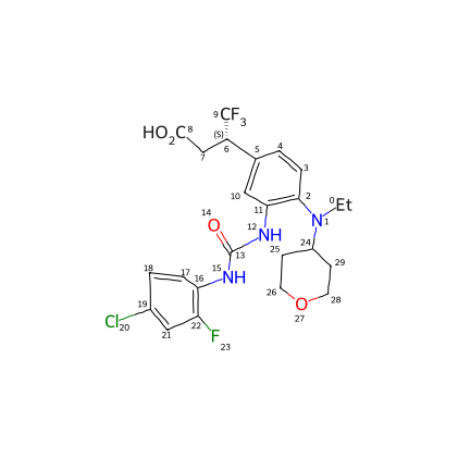 CCN(c1ccc([C@H](CC(=O)O)C(F)(F)F)cc1NC(=O)Nc1ccc(Cl)cc1F)C1CCOCC1